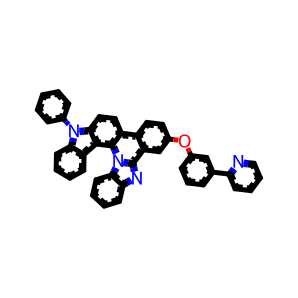 c1ccc(-n2c3ccccc3c3c2ccc2c4ccc(Oc5cccc(-c6ccccn6)c5)cc4c4nc5ccccc5n4c23)cc1